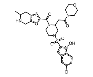 CC1Cc2nc(C(=O)N3CCN(S(=O)(=O)c4cc5cc(Cl)ccc5n4O)CC3CC(=O)N3CCOCC3)oc2CN1